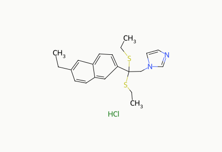 CCSC(Cn1ccnc1)(SCC)c1ccc2cc(CC)ccc2c1.Cl